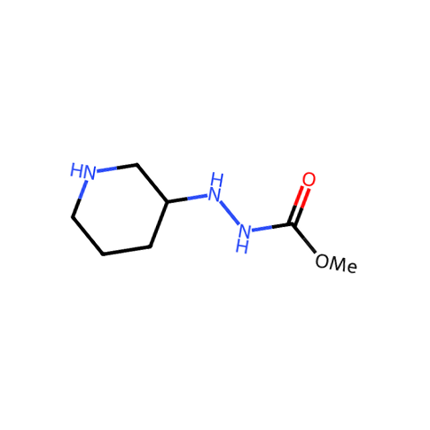 COC(=O)NNC1CCCNC1